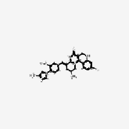 COc1cc(/C=C2\CC(C)Cn3c2nc(=O)c(CO)c3-c2ccc(F)cc2)ccc1-n1cnc(C)c1